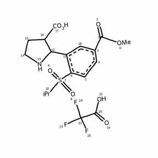 COC(=O)c1ccc(S(=O)(=O)C(C)C)c(C2NCCC2C(=O)O)c1.O=C(O)C(F)(F)F